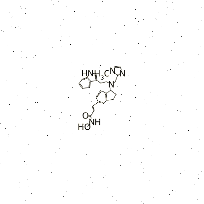 Cn1ccnc1CN(CCc1c[nH]c2ccccc12)C1CCc2cc(C=CC(=O)NO)ccc21